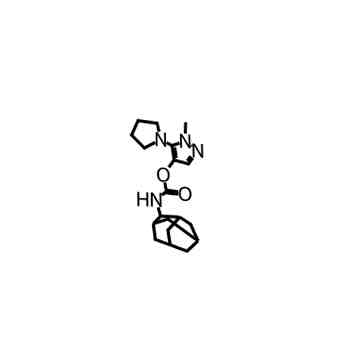 Cn1ncc(OC(=O)NC2C3CC4CC(C3)CC2C4)c1N1CCCC1